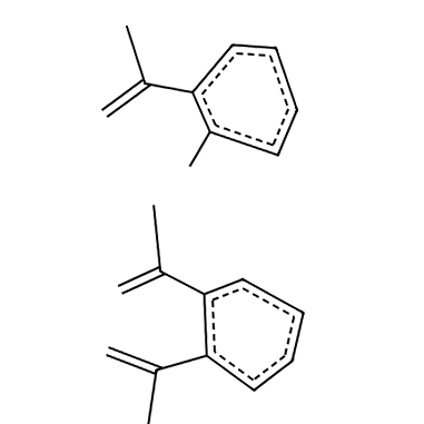 C=C(C)c1ccccc1C.C=C(C)c1ccccc1C(=C)C